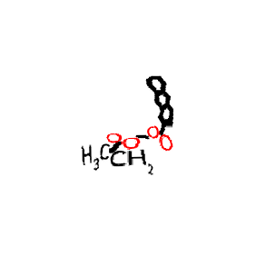 C=C(C)C(=O)OCCOC(=O)c1ccc2cc3ccccc3cc2c1